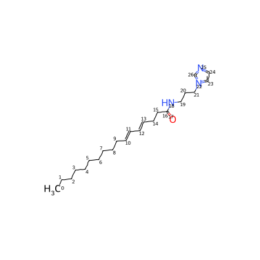 CCCCCCCCCC/C=C/C=C/CCC(=O)NCCCn1ccnc1